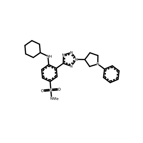 CNS(=O)(=O)c1ccc(NC2CCCCC2)c(-c2nnn(C3CCN(c4ccccc4)C3)n2)c1